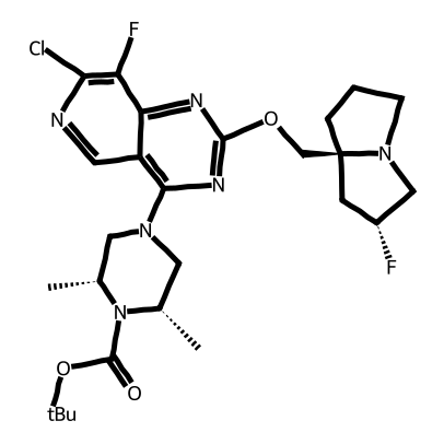 C[C@@H]1CN(c2nc(OC[C@@]34CCCN3C[C@H](F)C4)nc3c(F)c(Cl)ncc23)C[C@H](C)N1C(=O)OC(C)(C)C